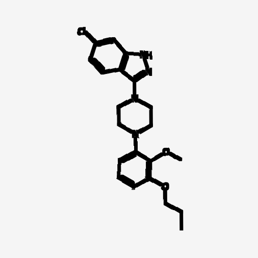 CCCOc1[c]ccc(N2CCN(c3n[nH]c4cc(Cl)ccc34)CC2)c1OC